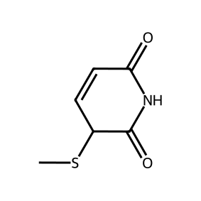 CSC1C=CC(=O)NC1=O